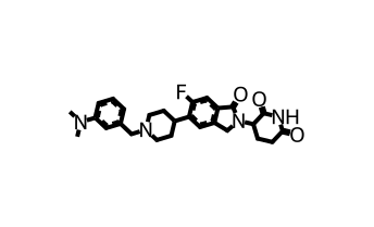 CN(C)c1cccc(CN2CCC(c3cc4c(cc3F)C(=O)N(C3CCC(=O)NC3=O)C4)CC2)c1